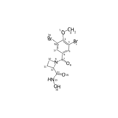 COc1c(Br)cc(C(=O)N2CCC2C(=O)NO)cc1Br